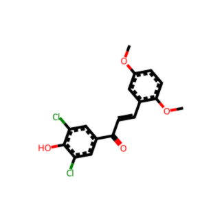 COc1ccc(OC)c(/C=C/C(=O)c2cc(Cl)c(O)c(Cl)c2)c1